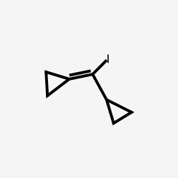 IC(=C1CC1)C1CC1